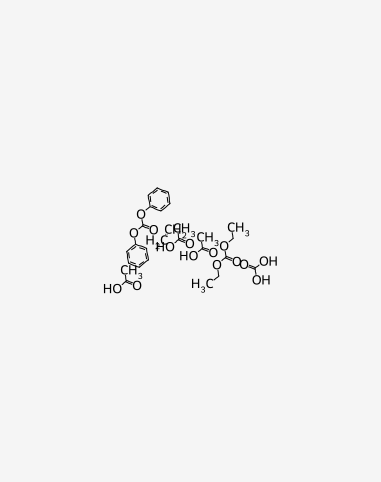 C=C.CC(=O)O.CC(=O)O.CC(=O)O.CCOC(=O)OCC.O=C(O)O.O=C(Oc1ccccc1)Oc1ccccc1